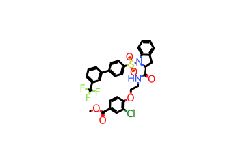 COC(=O)c1ccc(OCCNC(=O)[C@@H]2Cc3ccccc3N2S(=O)(=O)c2ccc(-c3cccc(C(F)(F)F)c3)cc2)c(Cl)c1